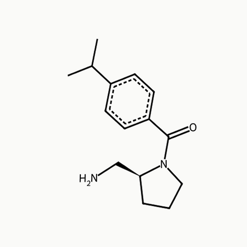 CC(C)c1ccc(C(=O)N2CCC[C@H]2CN)cc1